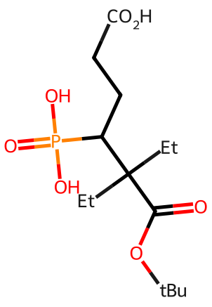 CCC(CC)(C(=O)OC(C)(C)C)C(CCC(=O)O)P(=O)(O)O